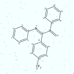 C=C(C(=Nc1ccccc1)c1ccc(C(F)(F)F)cc1)c1ccccc1